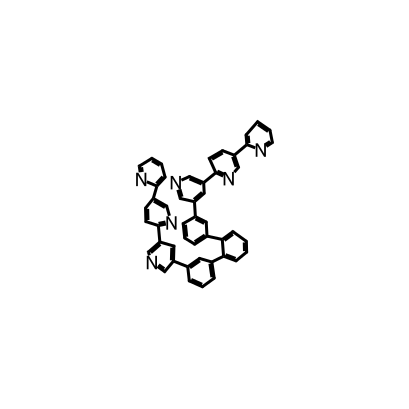 c1ccc(-c2ccc(-c3cncc(-c4cccc(-c5ccccc5-c5cccc(-c6cncc(-c7ccc(-c8ccccn8)cn7)c6)c5)c4)c3)nc2)nc1